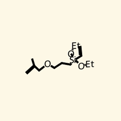 C=C[Si](CCCOCC(=C)C)(OCC)OCC